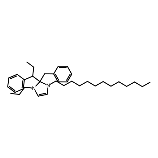 CCCCCCCCCCCCCN1C=CN(CCC)C1(Cc1ccccc1)C(CC)c1ccccc1